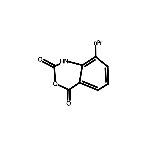 CCCc1cccc2c(=O)oc(=O)[nH]c12